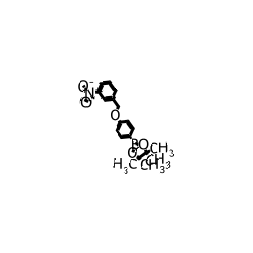 CC1(C)OB(c2ccc(OCc3cccc([N+](=O)[O-])c3)cc2)OC1(C)C